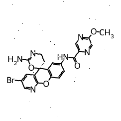 COc1cnc(C(=O)Nc2ccc3c(c2)[C@@]2(CCN=C(N)O2)c2cc(Br)cnc2O3)cn1